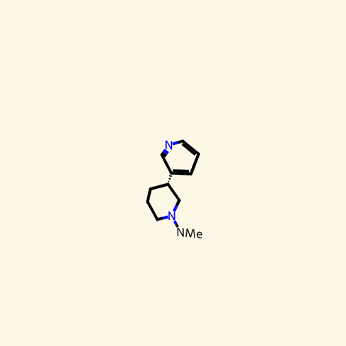 CNN1CCC[C@H](c2cccnc2)C1